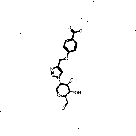 O=C(O)c1ccc(OCc2cn([C@H]3CO[C@H](CO)[C@H](O)[C@@H]3O)nn2)cc1